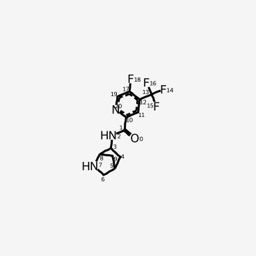 O=C(NC1CC2CNC1C2)c1cc(C(F)(F)F)c(F)cn1